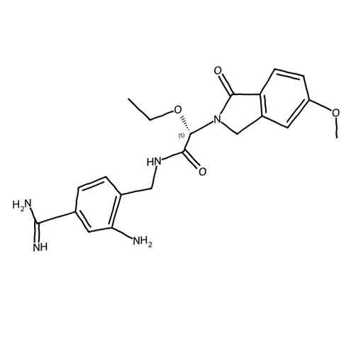 CCO[C@@H](C(=O)NCc1ccc(C(=N)N)cc1N)N1Cc2cc(OC)ccc2C1=O